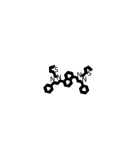 c1ccc(-c2cc(-c3cccc4c(-c5cc(-c6ccccc6)nc(-c6cccs6)n5)cccc34)nc(-c3cccs3)n2)cc1